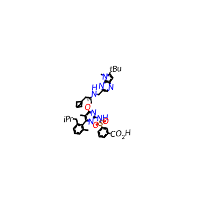 Cc1cccc(CC(C)C)c1-c1nc(NS(=O)(=O)c2cccc(C(=O)O)c2)nc(OC[C@@H](CC23CC(C2)C3)NCc2cnc3cc(C(C)(C)C)n(C)c3n2)c1C